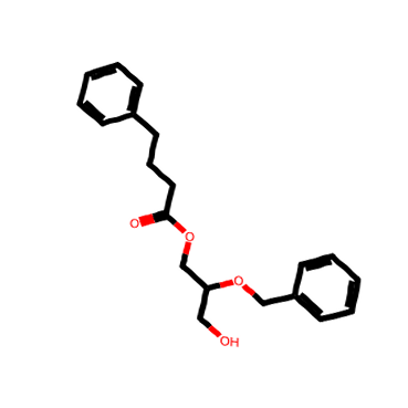 O=C(CCCc1ccccc1)OCC(CO)OCc1ccccc1